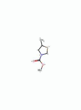 CC1CN(C(=O)OC(C)(C)C)CS1